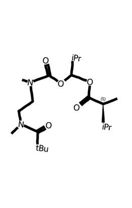 CC(C)C(OC(=O)[C@@H](C)C(C)C)OC(=O)N(C)CCN(C)C(=O)C(C)(C)C